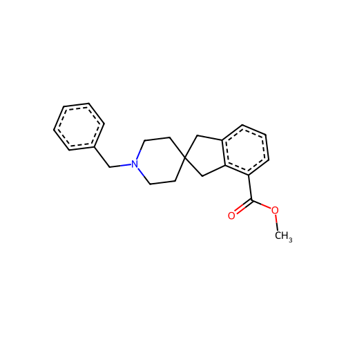 COC(=O)c1cccc2c1CC1(CCN(Cc3ccccc3)CC1)C2